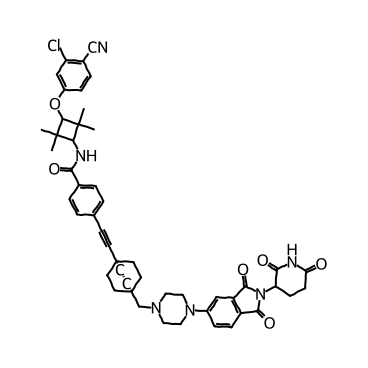 CC1(C)C(NC(=O)c2ccc(C#CC34CCC(CN5CCN(c6ccc7c(c6)C(=O)N(C6CCC(=O)NC6=O)C7=O)CC5)(CC3)CC4)cc2)C(C)(C)C1Oc1ccc(C#N)c(Cl)c1